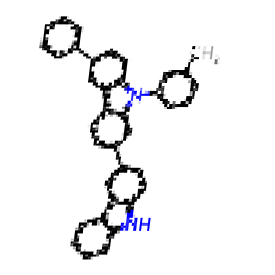 Cc1cccc(-n2c3ccc(-c4ccccc4)cc3c3ccc(-c4ccc5[nH]c6ccccc6c5c4)cc32)c1